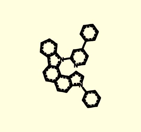 c1ccc(-c2ccnc(-n3c4ccccc4c4ccc5ccc6c(ccn6-c6ccccc6)c5c43)c2)cc1